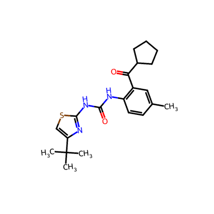 Cc1ccc(NC(=O)Nc2nc(C(C)(C)C)cs2)c(C(=O)C2CCCC2)c1